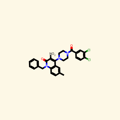 Cc1ccc2c(c1)c(N1CCN(C(=O)c3ccc(Cl)c(Cl)c3)CC1)c([N+](=O)[O-])c(=O)n2Cc1ccccc1